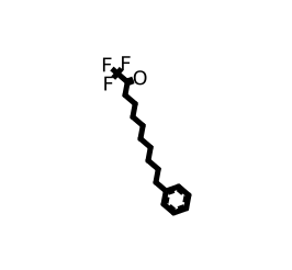 O=C(CCCCCCCCCc1ccccc1)C(F)(F)F